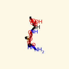 C=CCOC(=O)O[C@@H]1C[C@H](BC#CCNC(=O)COCCOC(COc2cccc(C(=O)NCCN)c2)SSC(C)(C)C)OC1CO